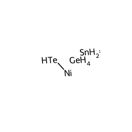 [GeH4].[Ni][TeH].[SnH2]